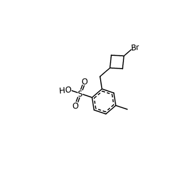 Cc1ccc(S(=O)(=O)O)c(CC2CC(Br)C2)c1